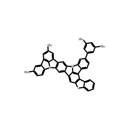 CC(C)(C)c1cc(-c2ccc3c4c5c(cc6c7cc8c(cc7n(c3c2)c64)c2cc(C(C)(C)C)cc3c4cc(C(C)(C)C)ccc4n8c32)sc2ccccc25)cc(C(C)(C)C)c1